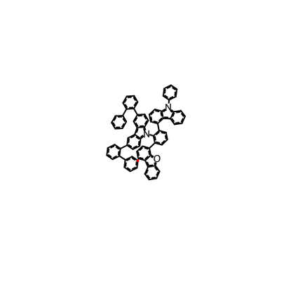 c1ccc(-c2ccccc2-c2ccc3c(c2)c2cc(-c4ccccc4-c4ccccc4)ccc2n3-c2c(-c3cccc4c3oc3ccccc34)cccc2-c2cccc3c2c2ccccc2n3-c2ccccc2)cc1